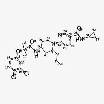 CCCC1CC(NC(=O)C(C)(C)Oc2ccc(Cl)c(Cl)c2)CCN1c1ccc(C(=O)NC2CC2)cn1